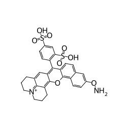 NOc1ccc2c3c(ccc2c1)C(c1ccc(S(=O)(=O)O)cc1S(=O)(=O)O)=c1cc2c4c(c1O3)CCC[N+]=4CCC2